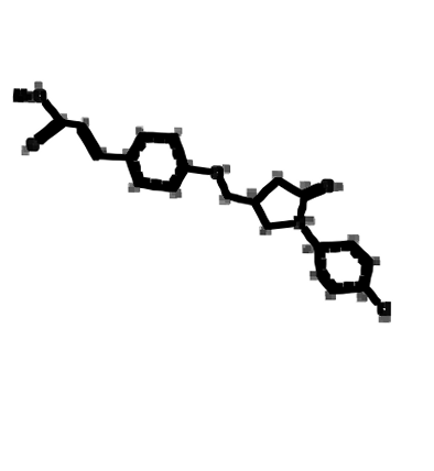 COC(=O)C=Cc1ccc(OCC2CC(=O)N(c3ccc(Cl)cc3)C2)cc1